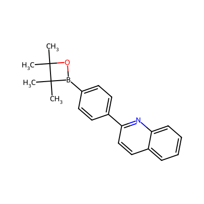 CC1(C)OB(c2ccc(-c3ccc4ccccc4n3)cc2)C1(C)C